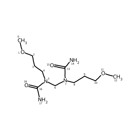 COCCCN(CN(CCCOC)C(N)=O)C(N)=O